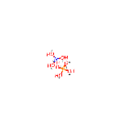 O=P(O)(O)O.ON(O)O